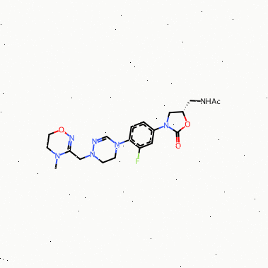 CC(=O)NC[C@H]1CN(c2ccc(N3C=NN(CC4=NOCCN4C)CC3)c(F)c2)C(=O)O1